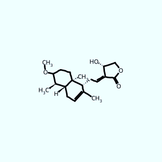 COC1CC[C@@]2(C)[C@H](C/C=C3/C(=O)OC[C@H]3O)C(C)=CC[C@@H]2[C@H]1C